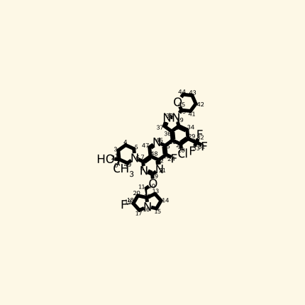 C[C@@]1(O)CCCN(c2nc(OC[C@@]34CCCN3C[C@H](F)C4)nc3c(F)c(-c4c(Cl)c(C(F)(F)F)cc5c4cnn5C4CCCCO4)ncc23)C1